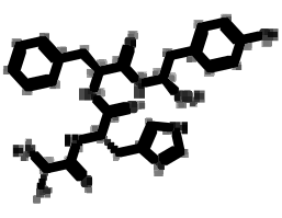 CC(C)[C@H](N)C(=O)N[C@@H](Cc1c[nH]cn1)C(=O)N[C@@H](Cc1ccccc1)C(=O)N[C@@H](Cc1ccc(O)cc1)C(=O)O